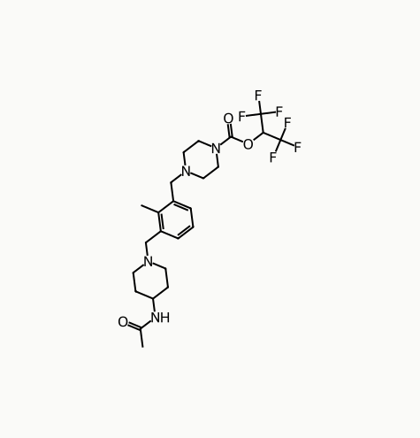 CC(=O)NC1CCN(Cc2cccc(CN3CCN(C(=O)OC(C(F)(F)F)C(F)(F)F)CC3)c2C)CC1